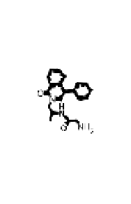 CC(Cn1cc(-c2ccccc2)c2ccccc2c1=O)NC(=O)CN